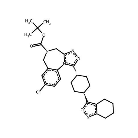 CC(C)(C)OC(=O)N1Cc2cc(Cl)ccc2-n2c(nnc2[C@H]2CC[C@H](c3onc4c3CCCC4)CC2)C1